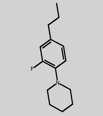 CCCc1ccc(N2CCCCC2)c(F)c1